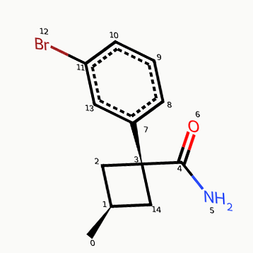 C[C@H]1C[C@@](C(N)=O)(c2cccc(Br)c2)C1